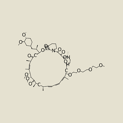 COCCOCCOCCOC1C[C@@H]2CC[C@@H](C)[C@@](O)(O2)C(=O)C(=O)N2CCCC[C@H]2C(=O)O[C@H]([C@H](C)C[C@@H]2CC[C@@H](OC)[C@H](OC)C2)CC(=O)[C@H](C)/C=C(\C)[C@@H](OC)[C@@H](OC)C(=O)[C@H](C)C[C@H](C)/C=C/C=C/C=C/1C